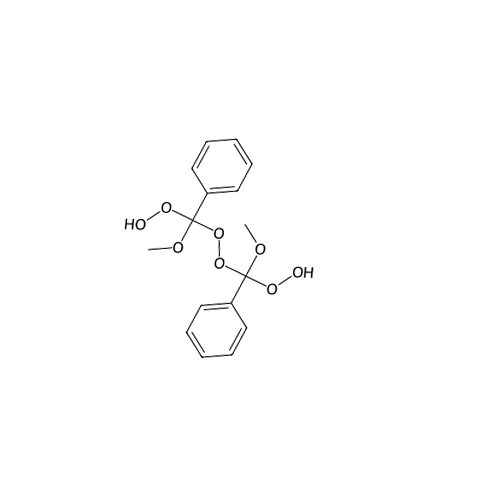 COC(OO)(OOC(OC)(OO)c1ccccc1)c1ccccc1